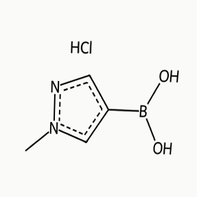 Cl.Cn1cc(B(O)O)cn1